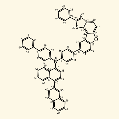 c1ccc(-c2ccc(N(c3ccc(-c4ccc5oc6ccc7nc(-c8ccccc8)sc7c6c5c4)cc3)c3ccc(-c4ccc5ccccc5c4)c4ccccc34)cc2)cc1